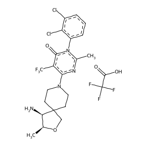 Cc1nc(N2CCC3(CC2)CO[C@@H](C)[C@H]3N)c(C(F)(F)F)c(=O)n1-c1cccc(Cl)c1Cl.O=C(O)C(F)(F)F